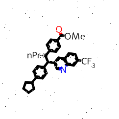 CCC[C@H](c1ccc(C(=O)OC)cc1)C(c1ccc(C2CCCC2)cc1)c1cnc2cc(C(F)(F)F)ccc2c1